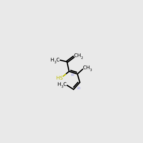 C=C(C)/C(S)=C(C)/C=C\C